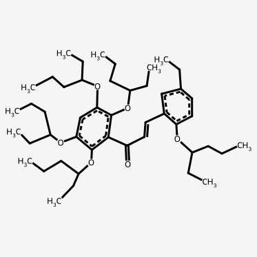 CCCC(CC)Oc1ccc(CC)cc1C=CC(=O)c1c(OC(CC)CCC)c(OC(CC)CCC)cc(OC(CC)CCC)c1OC(CC)CCC